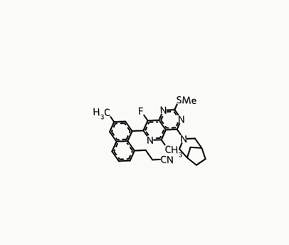 CSc1nc(N2CC3CCC(C3)C2)c2c(C)nc(-c3cc(C)cc4cccc(CCC#N)c34)c(F)c2n1